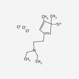 CCN(CC)CCC1=C[C](C)([Ti+3])C(C)=C1.[Cl-].[Cl-].[Cl-]